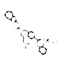 CN(C)CCCN(Cc1ccc(C(=O)Nc2ccccc2NC(=O)OC(C)(C)C)nc1)C(=O)Nc1nc2ccccc2[nH]1